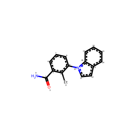 CCc1c(C(N)=O)cccc1-n1ccc2ccccc21